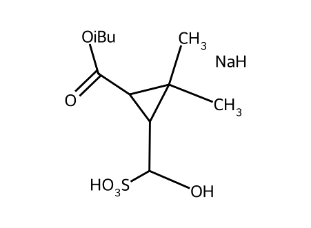 CC(C)COC(=O)C1C(C(O)S(=O)(=O)O)C1(C)C.[NaH]